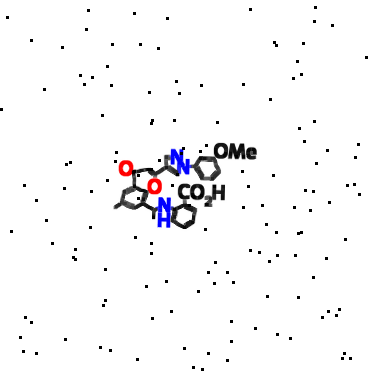 COc1cccc(-n2cc(-c3cc(=O)c4cc(C)cc(C(C)Nc5ccccc5C(=O)O)c4o3)cn2)c1